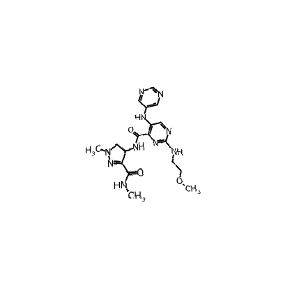 CNC(=O)C1=NN(C)CC1NC(=O)c1nc(NCCOC)ncc1Nc1cncnc1